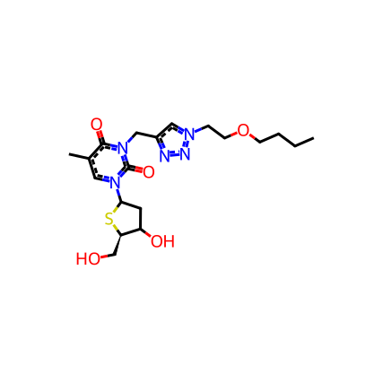 CCCCOCCn1cc(Cn2c(=O)c(C)cn(C3CC(O)[C@@H](CO)S3)c2=O)nn1